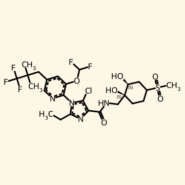 CCc1nc(C(=O)NC[C@@]2(O)CCC(S(C)(=O)=O)C[C@@H]2O)c(Cl)n1-c1ncc(CC(C)(C)C(F)(F)F)cc1OC(F)F